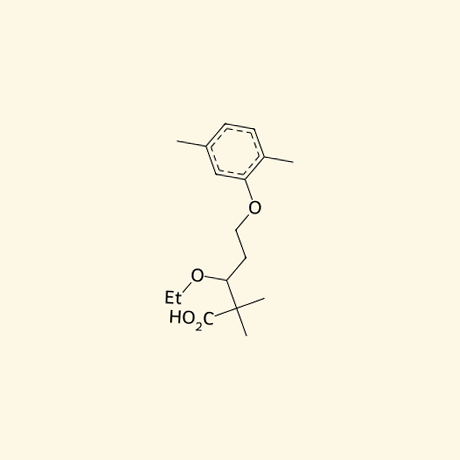 CCOC(CCOc1cc(C)ccc1C)C(C)(C)C(=O)O